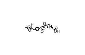 CC(C)(C)OC(=O)NCc1ccc(N2CC(C(=O)N3CCN(CCC(=O)O)CC3)OC2=O)cc1